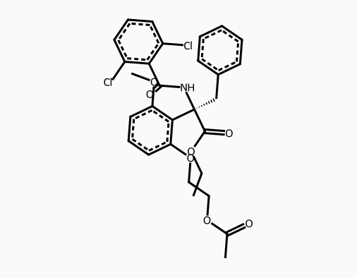 CCOC(=O)[C@](Cc1ccccc1)(NC(=O)c1c(Cl)cccc1Cl)c1c(OC)cccc1OCCOC(C)=O